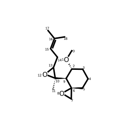 CO[C@@H]1CCC[C@]2(CO2)[C@H]1[C@@]1(C)OC1CC=C(C)C